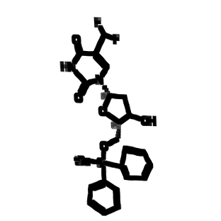 CC(C)(C)[Si](OC[C@@H]1O[C@H](n2cc(C(F)F)c(=O)[nH]c2=O)CC1O)(c1ccccc1)c1ccccc1